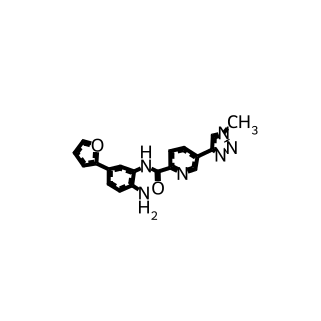 Cn1cc(-c2ccc(C(=O)Nc3cc(-c4ccco4)ccc3N)nc2)nn1